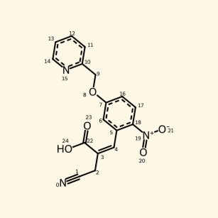 N#CCC(=Cc1cc(OCc2ccccn2)ccc1[N+](=O)[O-])C(=O)O